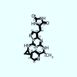 C[C@H](Nc1nc(NC2CC2)n2ncc(/C=C3\NC(=O)NC3=O)c2n1)c1ccccn1